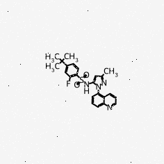 Cc1cc(NS(=O)(=O)c2ccc(C(C)(C)C)cc2F)n(-c2cccc3ncccc23)n1